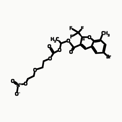 Cc1cc(Br)cc2c1O[C@H](C(F)(F)F)C(C(=O)OC(C)OC(=O)OCCOCCO[N+](=O)[O-])=C2